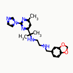 Cc1cc(C(C)(C)NCCNCc2ccc3c(c2)OCO3)nc(-n2ccnc2)n1